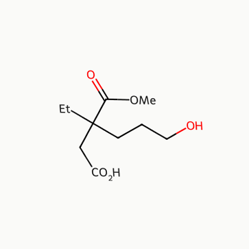 CCC(CCCO)(CC(=O)O)C(=O)OC